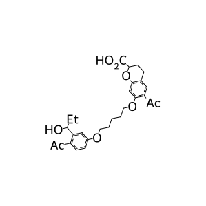 CCC(O)c1cc(OCCCCCOc2cc3c(cc2C(C)=O)CCC(C(=O)O)O3)ccc1C(C)=O